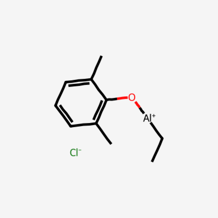 C[CH2][Al+][O]c1c(C)cccc1C.[Cl-]